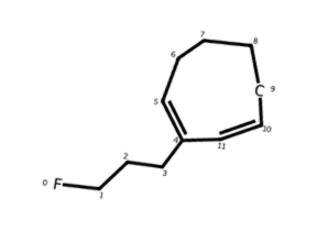 FCCCC1=C/CCCC/C=C\1